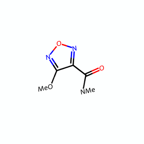 CNC(=O)c1nonc1OC